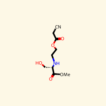 COC(=O)[C@H](CO)NCCOC(=O)CC#N